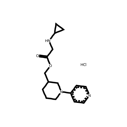 Cl.O=C(CNC1CC1)OCC1CCCN(c2ccncc2)C1